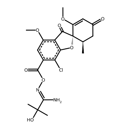 COC1=CC(=O)C[C@@H](C)[C@]12Oc1c(Cl)c(C(=O)O/N=C(\N)C(C)(C)O)cc(OC)c1C2=O